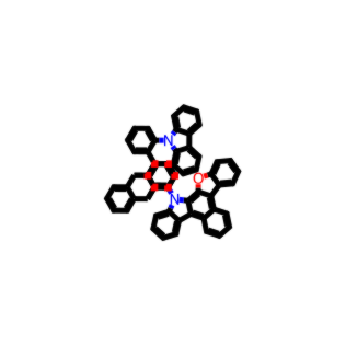 c1ccc(-n2c3ccccc3c3ccccc32)c(-c2ccc(-n3c4ccccc4c4c5ccccc5c5c6ccccc6oc5c43)c3c2C2c4ccccc4C3c3ccccc32)c1